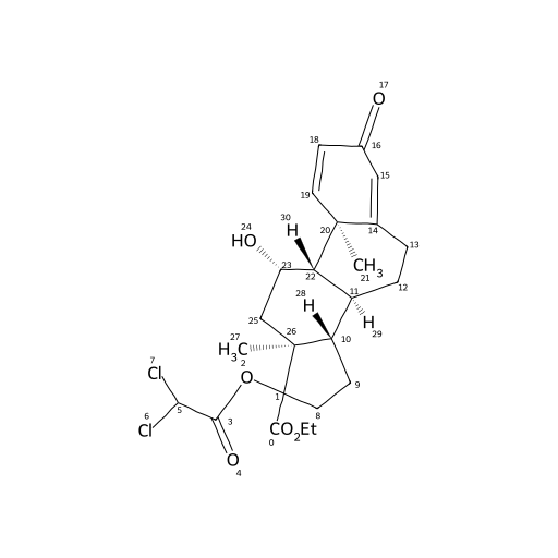 CCOC(=O)C1(OC(=O)C(Cl)Cl)CC[C@H]2[C@@H]3CCC4=CC(=O)C=C[C@]4(C)[C@H]3[C@@H](O)C[C@@]21C